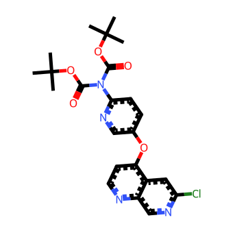 CC(C)(C)OC(=O)N(C(=O)OC(C)(C)C)c1ccc(Oc2ccnc3cnc(Cl)cc23)cn1